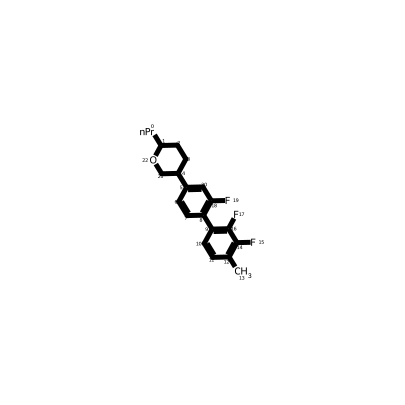 CCCC1CCC(c2ccc(-c3ccc(C)c(F)c3F)c(F)c2)CO1